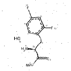 COC(=O)[C@@H](N)Cc1ccc(F)cc1F.Cl